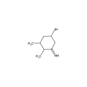 CC(C)C1CC(=N)C(C)C(C)C1